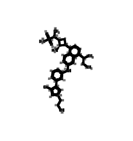 COC(C)c1ccc(N2C[C@H](N(C)S(C)(=O)=O)[C@H]2N)c2cnc(Nc3ccnc(-c4cn(CCO)nc4Cl)n3)cc12